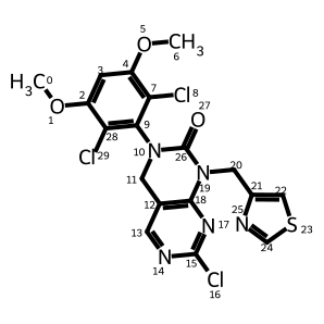 COc1cc(OC)c(Cl)c(N2Cc3cnc(Cl)nc3N(Cc3cscn3)C2=O)c1Cl